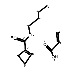 C=CC(=O)O.CCCCOC(=O)C1=CCC1